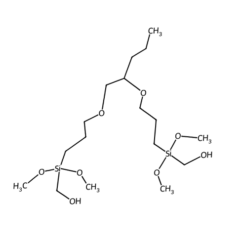 CCCC(COCCC[Si](CO)(OC)OC)OCCC[Si](CO)(OC)OC